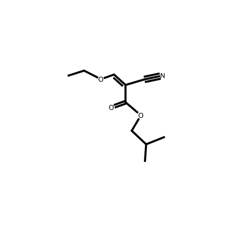 CCOC=C(C#N)C(=O)OCC(C)C